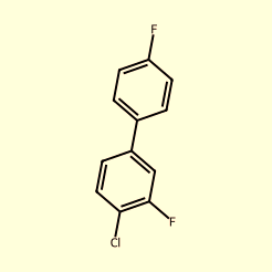 Fc1ccc(-c2ccc(Cl)c(F)c2)cc1